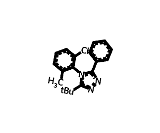 Cc1cccc(C)c1-n1c(-c2ccccc2)nnc1C(C)(C)C